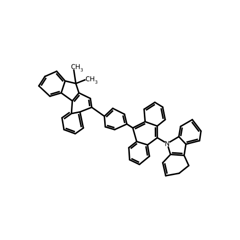 CC1(C)c2ccccc2-c2c1cc(-c1ccc(-c3c4ccccc4c(-n4c5c(c6ccccc64)CCC=C5)c4ccccc34)cc1)c1ccccc21